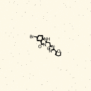 O=c1nc(Cc2nc(C3=CCCCO3)no2)[nH]c2ccc(Br)cc12